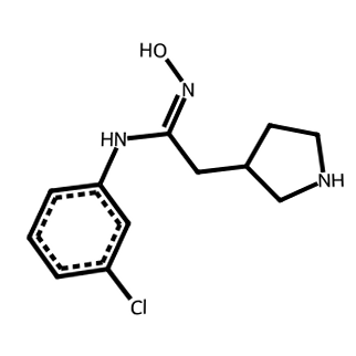 O/N=C(/CC1CCNC1)Nc1cccc(Cl)c1